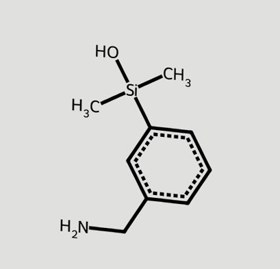 C[Si](C)(O)c1cccc(CN)c1